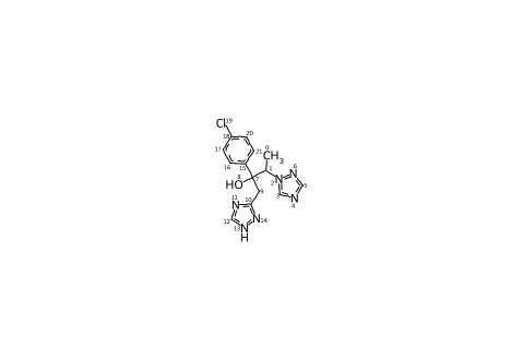 CC(n1cncn1)C(O)(Cc1nc[nH]n1)c1ccc(Cl)cc1